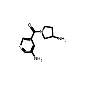 Nc1cncc(C(=O)N2CCC(N)C2)c1